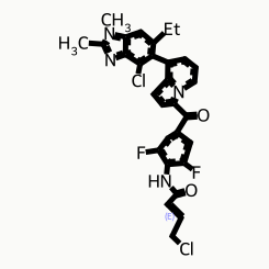 CCc1cc2c(nc(C)n2C)c(Cl)c1-c1cccn2c(C(=O)c3cc(F)c(NC(=O)/C=C/CCl)c(F)c3)ccc12